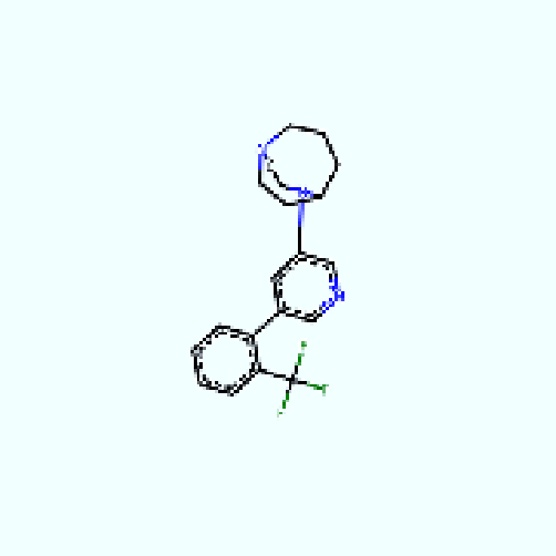 FC(F)(F)c1ccccc1-c1cncc(N2CCN3CCCC2CC3)c1